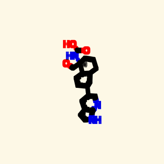 O=C[C@]1(NC(=O)O)C=CCc2cc(-c3cnc4[nH]ccc4c3)ccc21